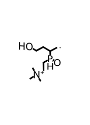 [CH2]C(CCO)[PH](=O)CC[N+](C)(C)C